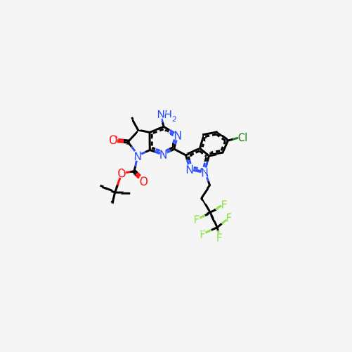 CC1C(=O)N(C(=O)OC(C)(C)C)c2nc(-c3nn(CCC(F)(F)C(F)(F)F)c4cc(Cl)ccc34)nc(N)c21